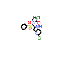 Cl.O=C1CCCN1C(c1cc2nc(Cl)ccc2[nH]1)S(=O)(=O)c1ccccc1